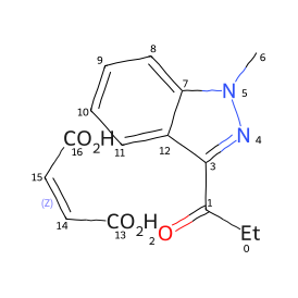 CCC(=O)c1nn(C)c2ccccc12.O=C(O)/C=C\C(=O)O